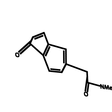 CNC(=O)Cc1ccc2c(c1)C=CC2=O